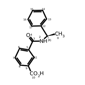 C[C@@H](NC(=O)c1cccc(C(=O)O)c1)c1ccccc1